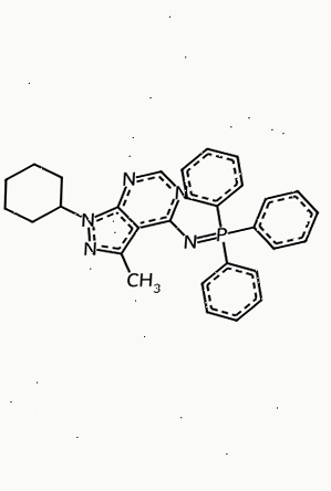 Cc1nn(C2CCCCC2)c2ncnc(N=P(c3ccccc3)(c3ccccc3)c3ccccc3)c12